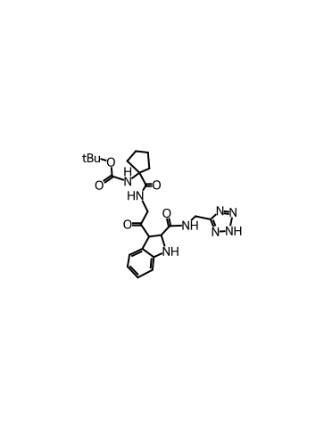 CC(C)(C)OC(=O)NC1(C(=O)NCC(=O)C2c3ccccc3NC2C(=O)NCc2nn[nH]n2)CCCC1